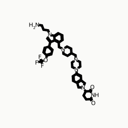 NCCCn1cc(-c2ccc(OC(F)(F)F)cc2)c2c(CN3CCC(CN4CCN(c5ccc6c(c5)CN(C5CCC(=O)NC5=O)C6)CC4)CC3)cccc21